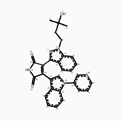 CC(C)(O)CCn1nc(C2=C(c3cn(-c4cccnc4)c4ccccc34)C(=O)NC2=O)c2ccccc21